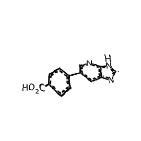 O=C(O)c1ccc(-c2cnc3[nH][c]nc3c2)cc1